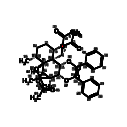 CC(=O)OC[C@@]12[C@@H](OC(C)=O)CC[C@@H](C)[C@]13OC(C)(C)[C@H]([C@@H](OC(=O)c1ccccc1)[C@H]2OC(=O)c1ccccc1)[C@H]3OC(C)=O